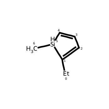 CCC1=CC=C[SiH]1C